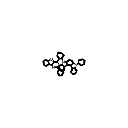 c1ccc(-c2nc(-c3ccccc3-n3c4ccccc4c4c5c6ccccc6n(-c6ccccc6)c5ccc43)c3oc4ccccc4c3n2)cc1